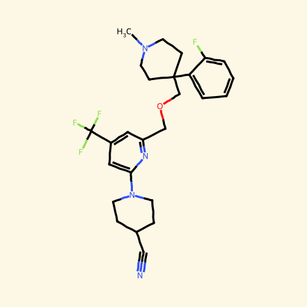 CN1CCC(COCc2cc(C(F)(F)F)cc(N3CCC(C#N)CC3)n2)(c2ccccc2F)CC1